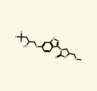 COCC1CN(c2noc3cc(OCC(O)CC(F)(F)F)ccc23)C(=O)O1